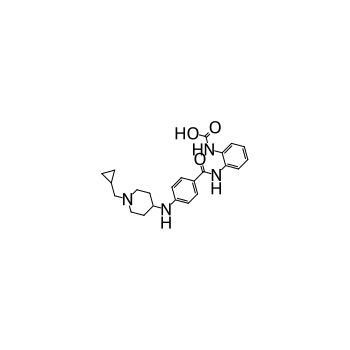 O=C(O)Nc1ccccc1NC(=O)c1ccc(NC2CCN(CC3CC3)CC2)cc1